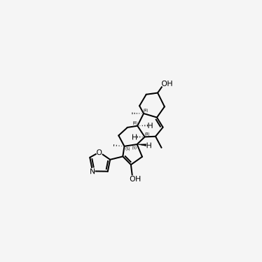 CC1C=C2CC(O)CC[C@]2(C)[C@@H]2CC[C@]3(C)C(c4cnco4)=C(O)C[C@H]3[C@H]12